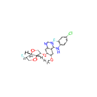 COc1cc2c(Nc3ccc(Cl)cc3F)ncnc2cc1OC1CO[C@H]2[C@H](F)CO[C@@H]12